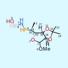 COC1O[C@H]([C@H](C)PNBO)[C@H]2OC(C)(C)O[C@@H]12